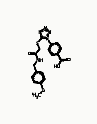 COc1ccc(CNC(=O)CSc2nnnn2-c2ccc(C(=O)O)cc2)cc1